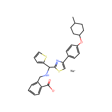 CC1CCC(Oc2ccc(-c3csc(C(NCc4ccccc4C(=O)[O-])c4cccs4)n3)cc2)CC1.[Na+]